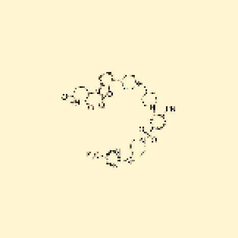 N#Cc1ccc(S(=O)(=O)N2CCC(Nc3ncc(C(F)(F)F)cn3)CC2)cc1N1CCC(CN2CCC(c3cccc4c3oc(=O)n4C3CCC(=O)NC3=O)CC2)CC1